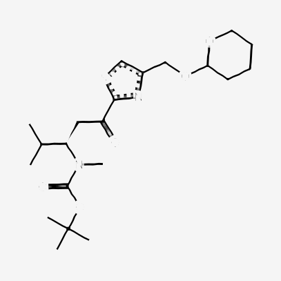 CC(C)[C@@H](CC(=O)c1nc(COC2CCCCO2)cs1)N(C)C(=O)OC(C)(C)C